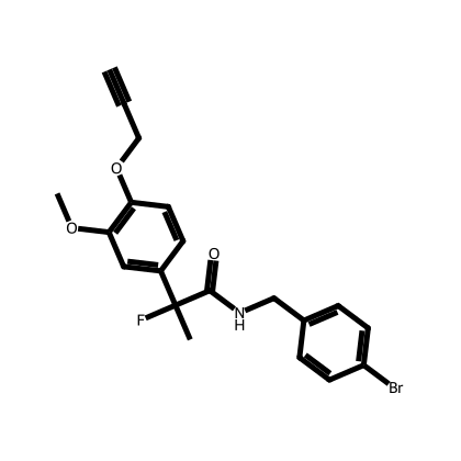 C#CCOc1ccc(C(C)(F)C(=O)NCc2ccc(Br)cc2)cc1OC